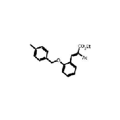 CCOC(=O)/C(=C/c1ccccc1OCc1ccc(C)cc1)C(C)=O